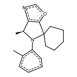 Cc1ccccc1N1[C@@H](C)c2ncoc2C12CCCCC2